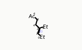 CC/C=C(\CC)CCC(C)=O